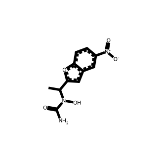 CC(c1cc2cc([N+](=O)[O-])ccc2o1)N(O)C(N)=O